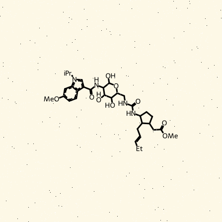 CC/C=C/CC1C(CC(=O)OC)CCC1NC(=O)NCC1OC(O)C(NC(=O)c2cn(C(C)C)c3cc(OC)ccc23)C(O)C1O